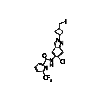 O=C(Nc1cc2cn(C3CC(CI)C3)nc2cc1Cl)c1cccc(C(F)(F)F)n1